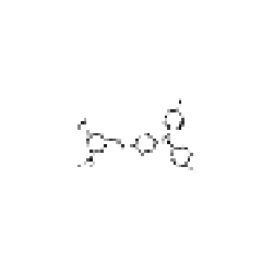 COc1cc(C=Cc2ccc(N(c3ccc(C)cc3)c3ccc(C)cc3)cc2)cc(OC)c1